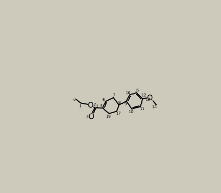 CCOC(=O)C1=CCC(c2ccc(OC)cc2)CC1